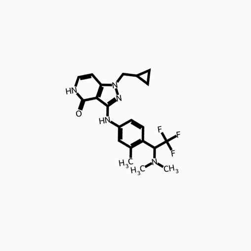 Cc1cc(Nc2nn(CC3CC3)c3cc[nH]c(=O)c23)ccc1C(N(C)C)C(F)(F)F